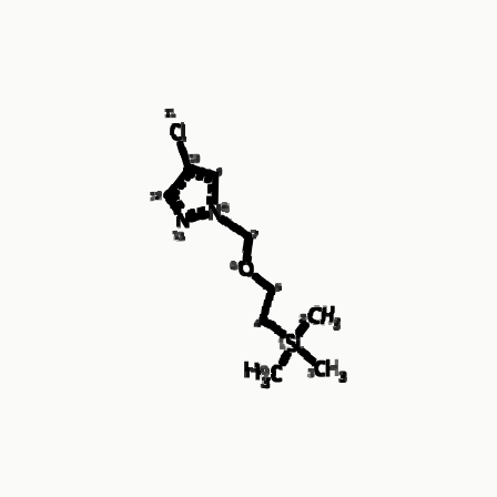 C[Si](C)(C)CCOCn1cc(Cl)cn1